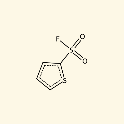 O=S(=O)(F)c1cccs1